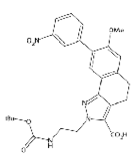 COc1cc2c(cc1-c1cccc([N+](=O)[O-])c1)-c1nn(CCNC(=O)OC(C)(C)C)c(C(=O)O)c1CC2